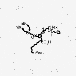 CCCCC#CCCOC(CCC(=O)OCc1cc(COC(=O)CCC(CCCCCC)OC(=O)NCCN2CCCC2)cc(CC(CCCCCC/C=C\C/C=C\CCCCC)C(=O)O)c1)OCCC#CCCCC